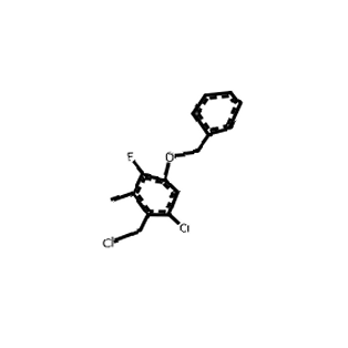 Cc1c(F)c(OCc2ccccc2)cc(Cl)c1CCl